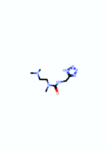 CN(C)CCN(C)C(=O)NCc1nnn[nH]1